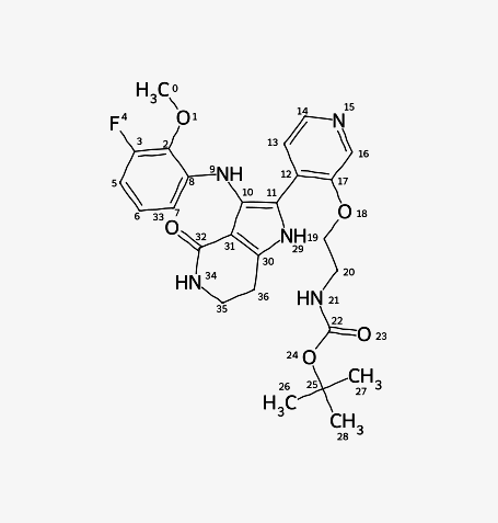 COc1c(F)cccc1Nc1c(-c2ccncc2OCCNC(=O)OC(C)(C)C)[nH]c2c1C(=O)NCC2